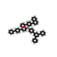 c1ccc(-c2ccc(-c3ccc(N(c4ccc(-c5cc(-c6ccccc6)cc(-c6ccccc6)c5)cc4)c4cc(-c5cccc6ccccc56)ccc4-c4ccccc4)cc3)cc2)cc1